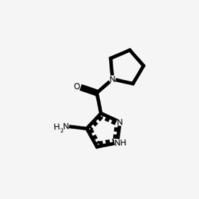 Nc1c[nH]nc1C(=O)N1CCCC1